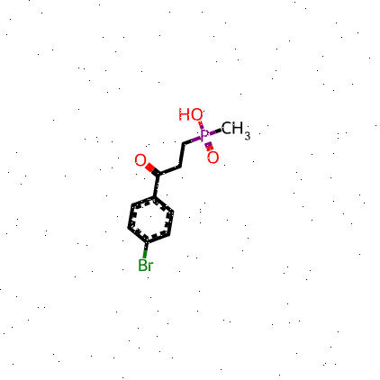 CP(=O)(O)CCC(=O)c1ccc(Br)cc1